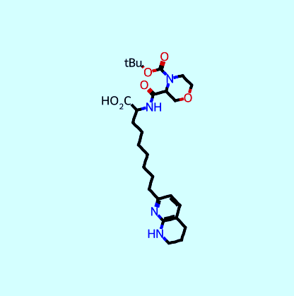 CC(C)(C)OC(=O)N1CCOCC1C(=O)NC(CCCCCCCc1ccc2c(n1)NCCC2)C(=O)O